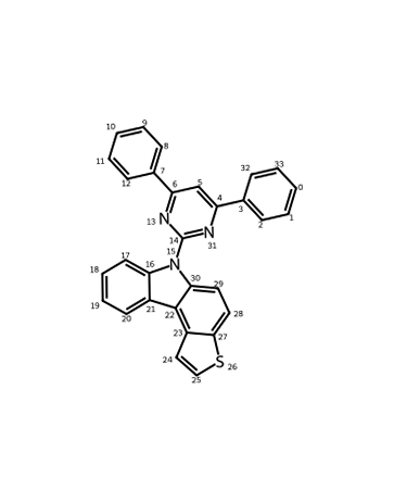 c1ccc(-c2cc(-c3ccccc3)nc(-n3c4ccccc4c4c5ccsc5ccc43)n2)cc1